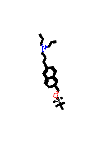 CCCN(CCC)CCCc1ccc2cc(CO[Si](C)(C)C(C)(C)C)ccc2c1